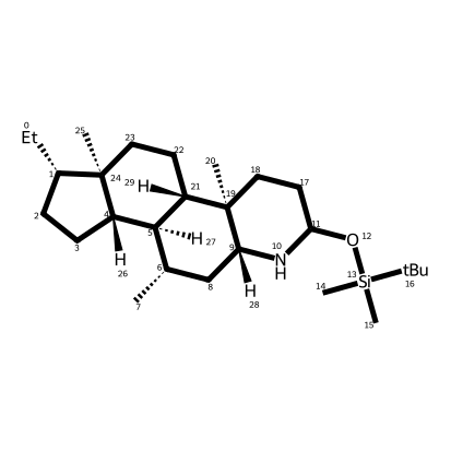 CC[C@H]1CC[C@H]2[C@@H]3[C@@H](C)C[C@H]4NC(O[Si](C)(C)C(C)(C)C)CC[C@]4(C)[C@H]3CC[C@]12C